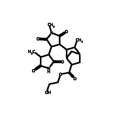 CC1C(=O)NC(=O)C1C1C(=O)N(C)C(=O)C1C1C(C)C2CC(C(=O)OCCO)C1C2